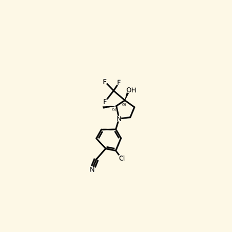 C[C@@H]1N(c2ccc(C#N)c(Cl)c2)CC[C@@]1(O)C(F)(F)F